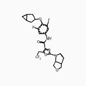 O=C(Nc1cc(F)c(OC2CC3CC3C2)c(F)c1)c1nc(N2CCC3COCC32)oc1CC(F)(F)F